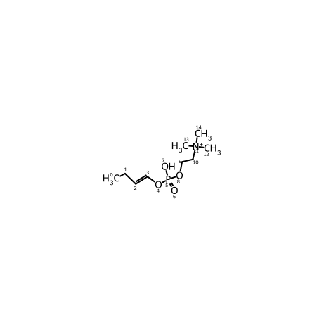 CCC=COP(=O)(O)OCC[N+](C)(C)C